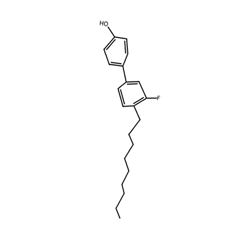 CCCCCCCCCc1ccc(-c2ccc(O)cc2)cc1F